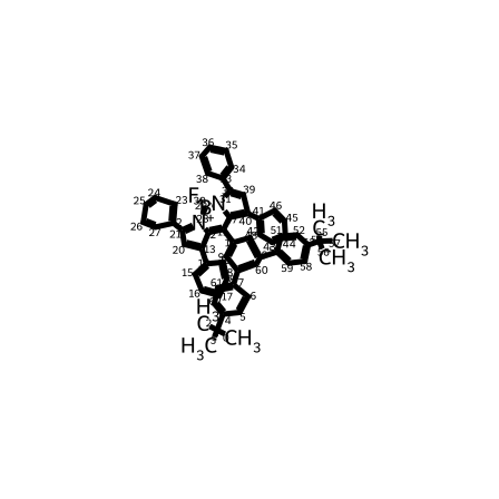 CC(C)(C)c1ccc(-c2cc(C3=C4C(c5ccccc5)=CC(c5ccccc5)=[N+]4B(F)n4c(-c5ccccc5)cc(-c5ccccc5)c43)cc(-c3ccc(C(C)(C)C)cc3)c2)cc1